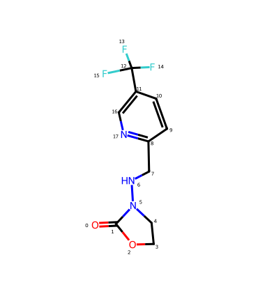 O=C1OCCN1NCc1ccc(C(F)(F)F)cn1